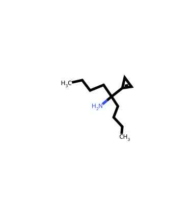 CCCCC(N)(CCCC)C1=CC1